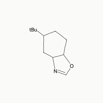 CC(C)(C)C1CCC2OC=NC2C1